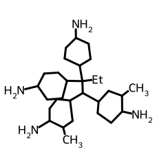 CCC(C1CCC(N)CC1)(C1CCC(N)CC1)C(C1CCC(N)C(C)C1)C1CCC(N)C(C)C1